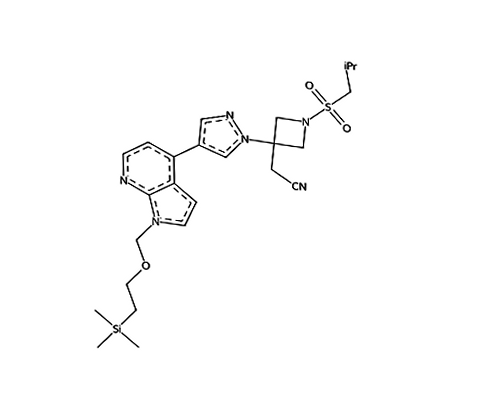 CC(C)CS(=O)(=O)N1CC(CC#N)(n2cc(-c3ccnc4c3ccn4COCC[Si](C)(C)C)cn2)C1